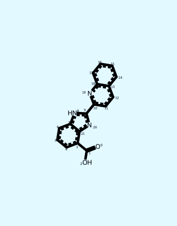 O=C(O)c1cccc2[nH]c(-c3ccc4ccccc4n3)nc12